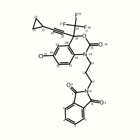 O=C1c2ccccc2C(=O)N1CCCN1C(=O)OC(C#CC2CC2)(C(F)(F)F)c2cc(Cl)ccc21